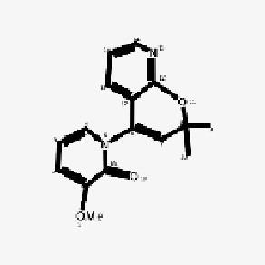 COc1cccn(C2=CC(C)(C)Oc3ncccc32)c1=O